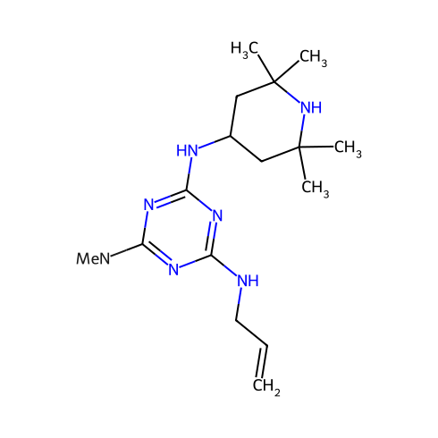 C=CCNc1nc(NC)nc(NC2CC(C)(C)NC(C)(C)C2)n1